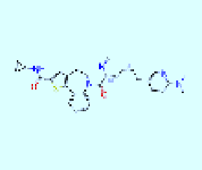 C=N/C(=C\C=C/Cc1ccc(N(C)C)nc1)C(=O)N1CCc2cc(C(=O)NC3CC3)sc2-c2ccccc21